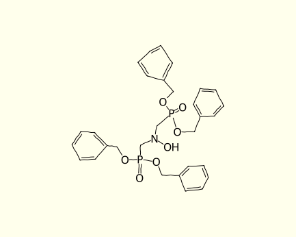 O=P(CN(O)CP(=O)(OCc1ccccc1)OCc1ccccc1)(OCc1ccccc1)OCc1ccccc1